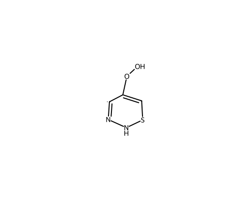 OOC1=CSNN=[C]1